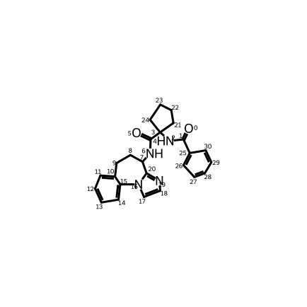 O=C(NC1(C(=O)NC2CCc3ccccc3-n3ccnc32)CCCC1)c1ccccc1